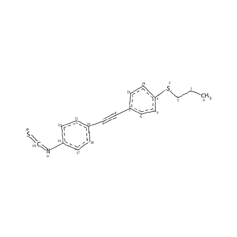 CCCSc1ccc(C#Cc2ccc(N=C=S)cc2)cc1